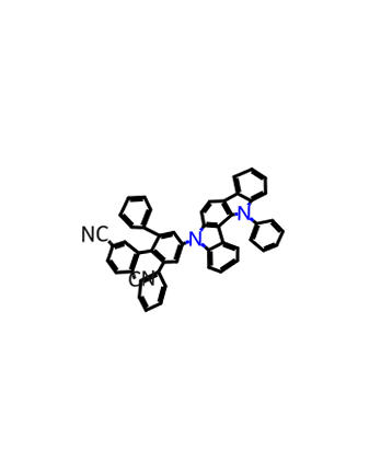 N#Cc1ccc(C#N)c(-c2c(-c3ccccc3)cc(-n3c4ccccc4c4c3ccc3c5ccccc5n(-c5ccccc5)c34)cc2-c2ccccc2)c1